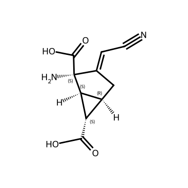 N#CC=C1C[C@H]2[C@H](C(=O)O)[C@H]2[C@@]1(N)C(=O)O